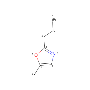 Cc1cnc(CCC(C)C)o1